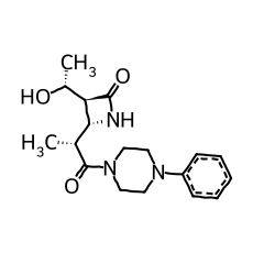 C[C@@H](O)[C@H]1C(=O)N[C@@H]1[C@@H](C)C(=O)N1CCN(c2ccccc2)CC1